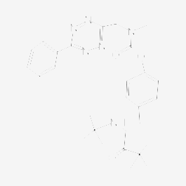 CN(Cc1nnc(-c2ccccc2)nn1)C(=O)Oc1ccc(C[C@@H](NC(C)(C)C)C(=O)C(C)(C)C)cc1